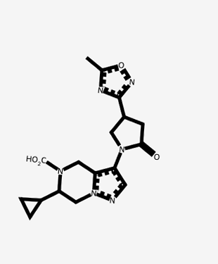 Cc1nc(C2CC(=O)N(c3cnn4c3CN(C(=O)O)C(C3CC3)C4)C2)no1